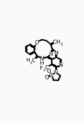 C=C1CCOc2ccccc2C(=C)Nc2nc1nc1cnc(N3CCCS3(=O)=O)c(C(F)(F)F)c21